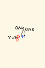 CNC(=O)OCC1Cc2cc(OC)c(OC)cc2CN1C